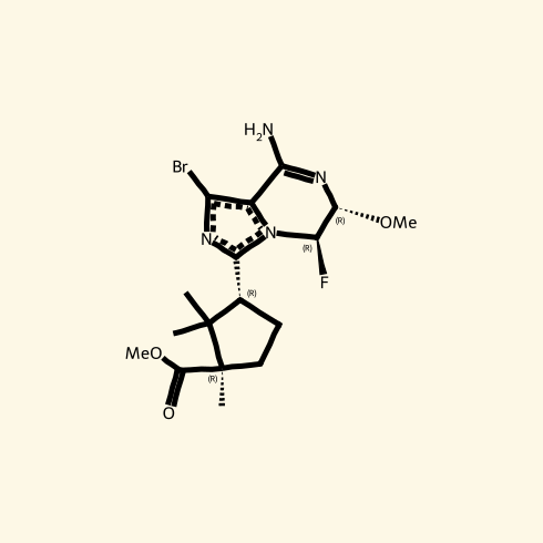 COC(=O)[C@]1(C)CC[C@@H](c2nc(Br)c3n2[C@H](F)[C@@H](OC)N=C3N)C1(C)C